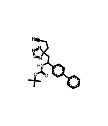 CC(C)(C)OC(=O)NC(CC1(CCC#N)N=NN=N1)c1ccc(-c2ccccc2)cc1